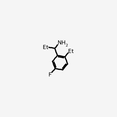 CCc1ccc(F)cc1C(N)CC